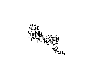 Cn1cc(-c2cc(-c3ccc(N4C[C@@H]5CC(C)(NC(=O)c6c(F)cccc6Cl)C[C@@H]5C4)nc3)c3c(C#N)cnn3c2)cn1